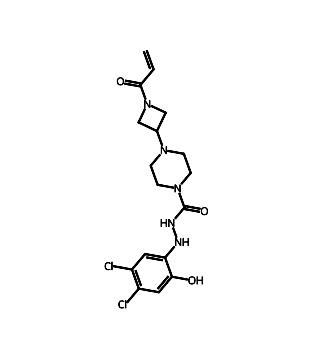 C=CC(=O)N1CC(N2CCN(C(=O)NNc3cc(Cl)c(Cl)cc3O)CC2)C1